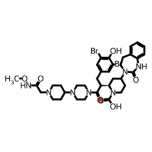 CONC(=O)CN1CCC(N2CCN(C(=O)C(Cc3cc(Br)c(O)c(Br)c3)[C@H]3CC(N4CCc5ccccc5NC4=O)CCN3C(=O)O)CC2)CC1